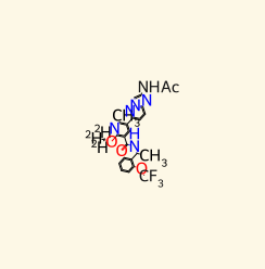 [2H]C([2H])([2H])Oc1nc(C)c(-c2ccc3nc(NC(C)=O)cn3n2)cc1C(=O)NC(C)c1ccccc1OC(F)(F)F